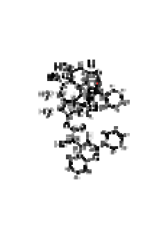 CC1=C2[C@H](C)[C@H](O)[C@@]3(C)[C@H]([C@H](OC(=O)c4ccccc4)[C@]2(C(C)(C)O)C[C@@H]1OC(=O)[C@H](O)[C@@H](NC(=O)c1ccccc1)c1ccccc1)[C@]1(C)CO[C@@H]1C[C@@H]3O